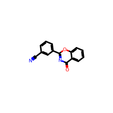 N#Cc1cccc(-c2nc(=O)c3ccccc3o2)c1